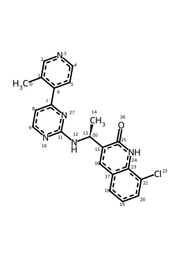 Cc1cnccc1-c1ccnc(N[C@@H](C)c2cc3cccc(Cl)c3[nH]c2=O)n1